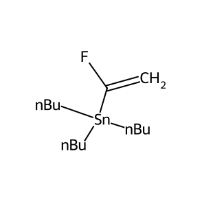 C=[C](F)[Sn]([CH2]CCC)([CH2]CCC)[CH2]CCC